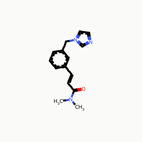 CN(C)C(=O)C=Cc1cccc(Cn2ccnc2)c1